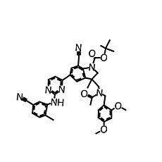 COc1ccc(CN(CC2(C)CN(C(=O)OC(C)(C)C)c3c(C#N)cc(-c4ccnc(Nc5cc(C#N)ccc5C)n4)cc32)C(C)=O)c(OC)c1